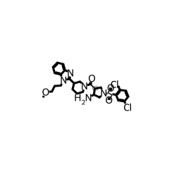 COCCCn1c(C2CCCN(C(=O)[C@H]3CN(S(=O)(=O)c4cc(Cl)ccc4Cl)CC3N)C2)nc2ccccc21